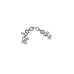 CC1(C)CC(C)(C)C1NC(=O)c1ccc(N2CCC(CN3CCN(c4ccc5c(c4)CN([C@H]4CCC(=O)NC4=O)C5=O)CC3)CC2)nc1